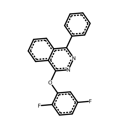 Fc1ccc(F)c(Oc2nnc(-c3ccccc3)c3ccccc23)c1